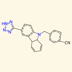 N#Cc1ccc(CN2c3ccc(-c4nn[nH]n4)cc3C3C=CC=CC32)cc1